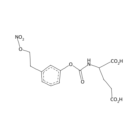 O=C(O)CCC(NC(=O)Oc1cccc(CCO[N+](=O)[O-])c1)C(=O)O